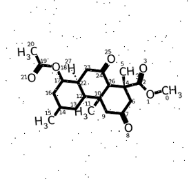 COC(=O)[C@]1(C)CC(=O)CC2(C)C3CC(C)CC(OC(C)=O)[C@H]3CC(=O)C21